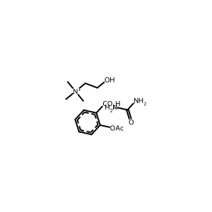 CC(=O)Oc1ccccc1C(=O)O.C[N+](C)(C)CCO.NC(N)=O